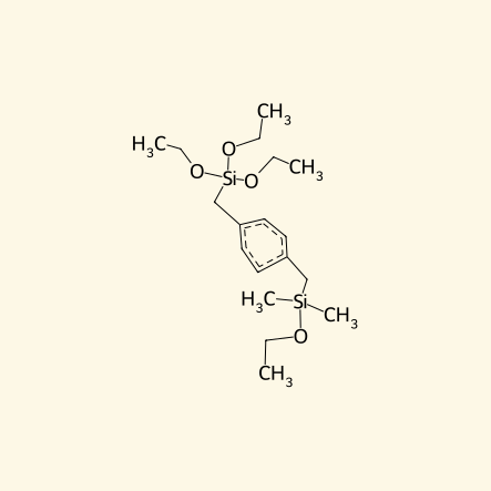 CCO[Si](C)(C)Cc1ccc(C[Si](OCC)(OCC)OCC)cc1